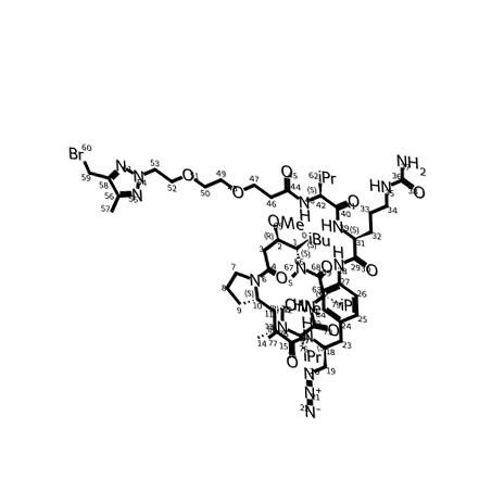 CC[C@H](C)[C@@H]([C@@H](CC(=O)N1CCC[C@H]1[C@H](OC)[C@@H](C)C(=O)N[C@H](CN=[N+]=[N-])Cc1ccc(NC(=O)[C@H](CCCNC(N)=O)NC(=O)[C@@H](NC(=O)CCOCCOCCn2nc(C)c(CBr)n2)C(C)C)cc1)OC)N(C)C(=O)[C@@H](NC(=O)[C@H](C(C)C)N(C)C)C(C)C